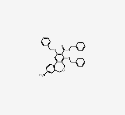 Nc1ccc2c(c1)COCc1c-2nc(OCc2ccccc2)c(C(=O)OCc2ccccc2)c1OCc1ccccc1